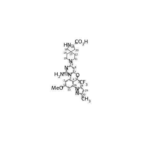 COc1ccc([C@@H](Oc2cc(N3CCC4(CC3)CN[C@H](C(=O)O)C4)nc(N)n2)C(F)(F)F)c(-n2ccc(C)n2)c1